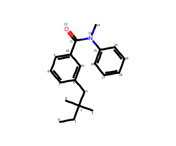 CCC(C)(C)Cc1cccc(C(=O)N(C)c2ccccc2)c1